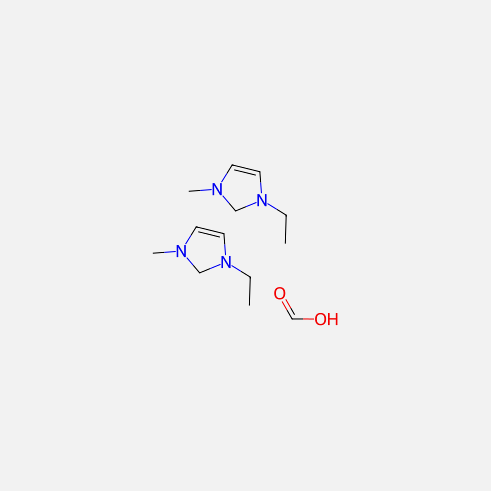 CCN1C=CN(C)C1.CCN1C=CN(C)C1.O=CO